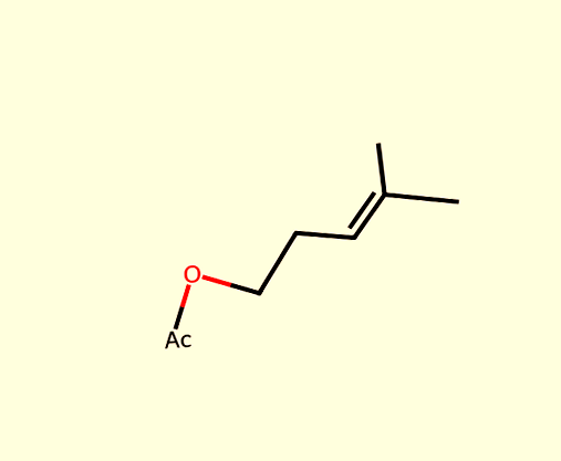 CC(=O)OCCC=C(C)C